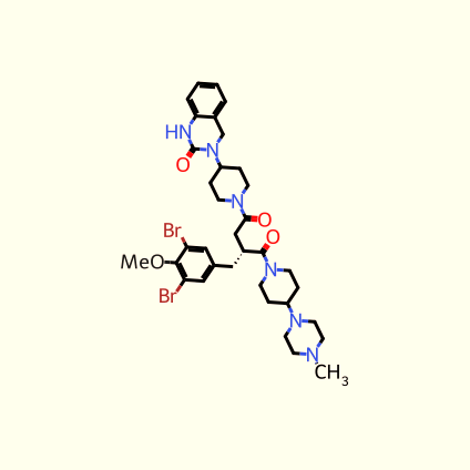 COc1c(Br)cc(C[C@H](CC(=O)N2CCC(N3Cc4ccccc4NC3=O)CC2)C(=O)N2CCC(N3CCN(C)CC3)CC2)cc1Br